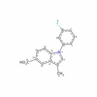 Cc1cn(-c2cccc(F)c2)c2ccc(C(=O)O)cc12